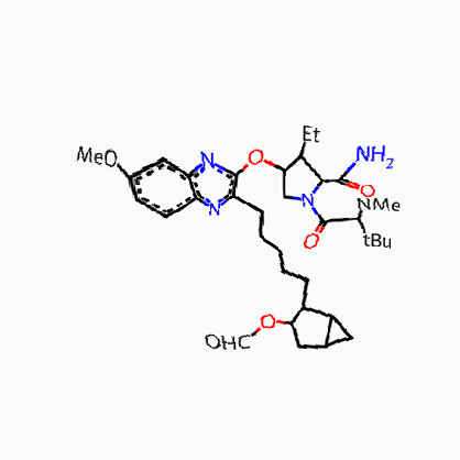 CCC1C(Oc2nc3cc(OC)ccc3nc2CCCCCC2C(OC=O)CC3CC32)CN(C(=O)C(NC)C(C)(C)C)C1C(N)=O